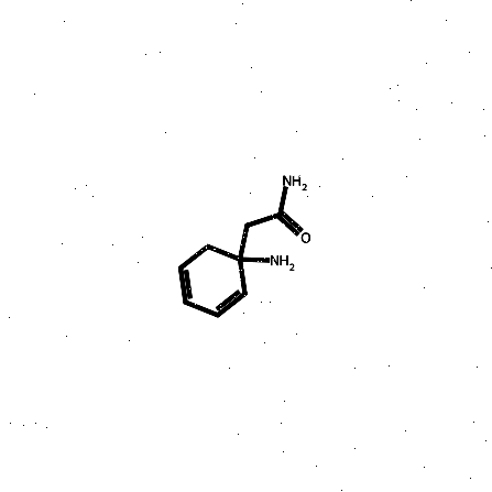 NC(=O)CC1(N)C=CC=CC1